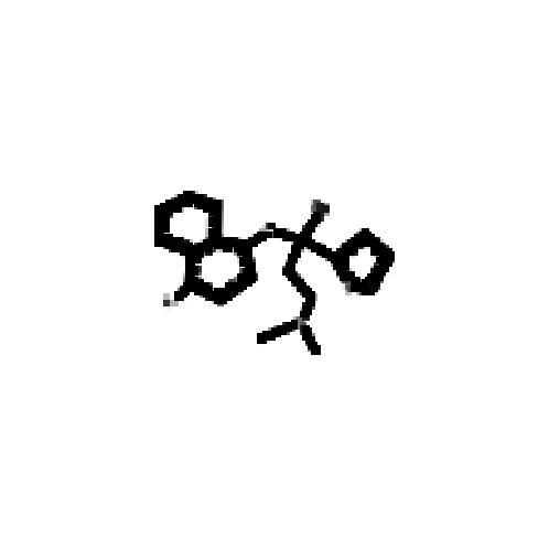 [2H]c1ccc(OC([2H])(CCN(C)C)c2cccs2)c2ccccc12